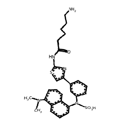 CN(C)c1cccc2c(N(c3cccc(-c4csc(NC(=O)CCCCCN)n4)c3)S(=O)(=O)O)cccc12